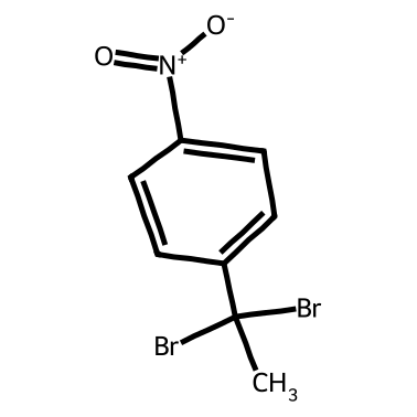 CC(Br)(Br)c1ccc([N+](=O)[O-])cc1